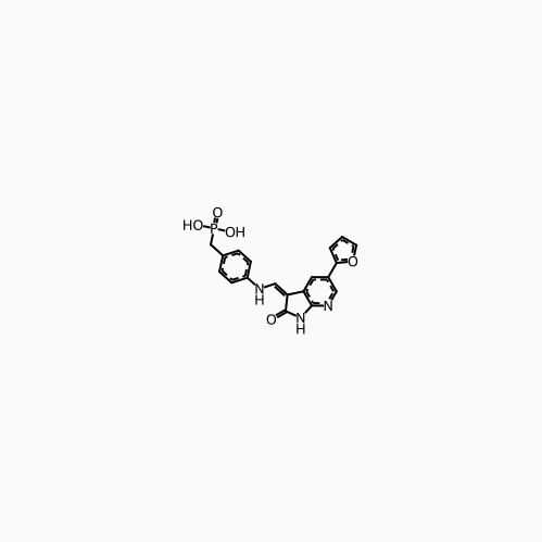 O=C1Nc2ncc(-c3ccco3)cc2C1=CNc1ccc(CP(=O)(O)O)cc1